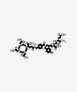 CC(=O)[C@@H](CCC(=O)O)NC(=O)N[C@H](CCCCN(Cc1ccc(Br)cc1)C(=O)c1ccc(CNC(=O)CCC(C(=O)O)N2CCN(CC(=O)O)CCN(CC(=O)O)CCN(CC(=O)O)CC2)cc1)C(=O)O